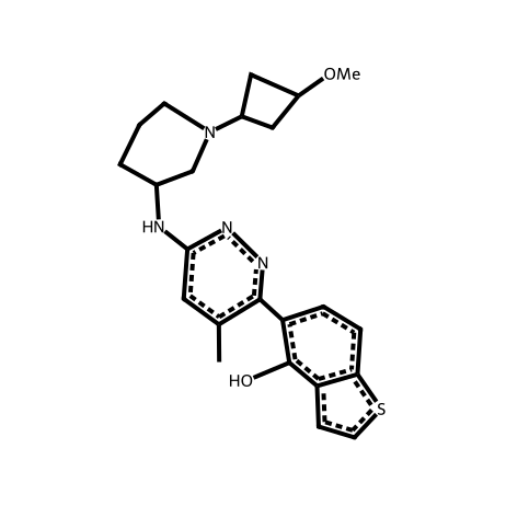 COC1CC(N2CCCC(Nc3cc(C)c(-c4ccc5sccc5c4O)nn3)C2)C1